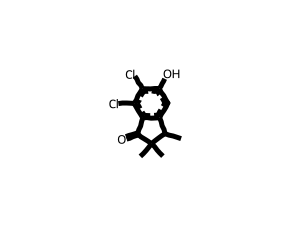 CC1c2cc(O)c(Cl)c(Cl)c2C(=O)C1(C)C